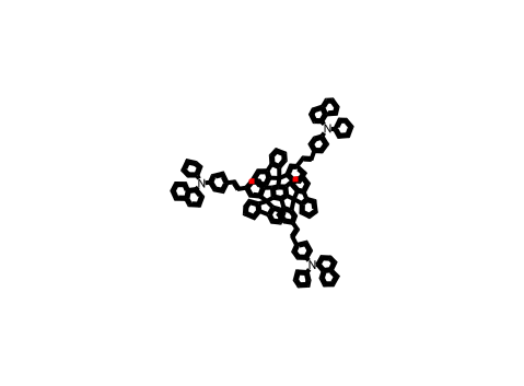 C(=C\c1ccc2c(c1)C1(c3ccccc3-c3ccccc31)c1c-2c2c(c3c1-c1ccc(/C=C/c4ccc(N(c5ccccc5)c5cccc6ccccc56)cc4)cc1C31c3ccccc3-c3ccccc31)-c1ccc(/C=C/c3ccc(N(c4ccccc4)c4cccc5ccccc45)cc3)cc1C21c2ccccc2-c2ccccc21)/c1ccc(N(c2ccccc2)c2cccc3ccccc23)cc1